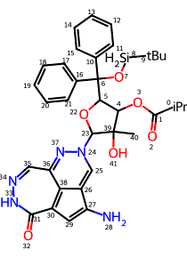 CC(C)C(=O)OC1C(C(O[SiH2]C(C)(C)C)(c2ccccc2)c2ccccc2)OC(n2cc3c(N)cc4c(=O)[nH]ncc(n2)c34)C1(C)O